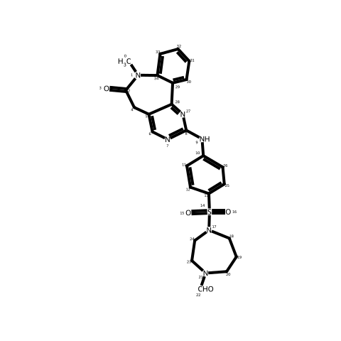 CN1C(=O)Cc2cnc(Nc3ccc(S(=O)(=O)N4CCCN(C=O)CC4)cc3)nc2-c2ccccc21